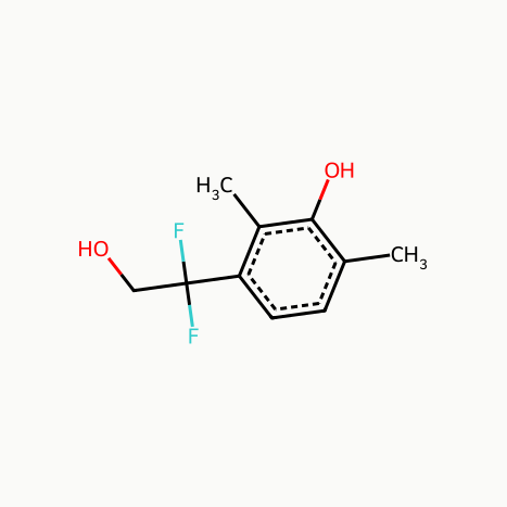 Cc1ccc(C(F)(F)CO)c(C)c1O